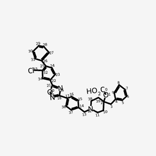 O=C(O)OC1(Cc2ccccc2)CCN(Cc2ccc(-c3noc(-c4ccc(-c5ccccc5)c(Cl)c4)n3)cc2)CC1